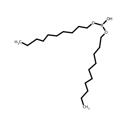 CCCCCCCCCCOB(O)OCCCCCCCCCC